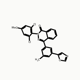 COc1cc(Cl)c(-n2nc(-c3cc(C)cc(-c4cnco4)c3)c3ccccc3c2=O)c(Cl)c1